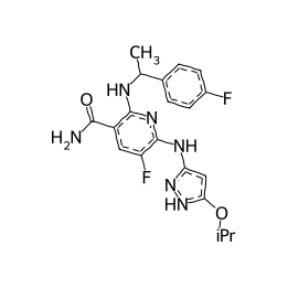 CC(C)Oc1cc(Nc2nc(NC(C)c3ccc(F)cc3)c(C(N)=O)cc2F)n[nH]1